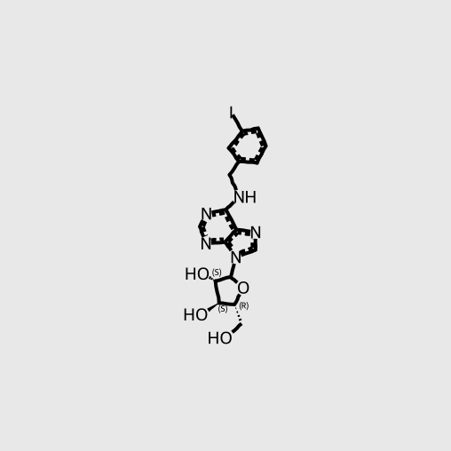 OC[C@H]1OC(n2cnc3c(NCc4cccc(I)c4)ncnc32)[C@@H](O)[C@@H]1O